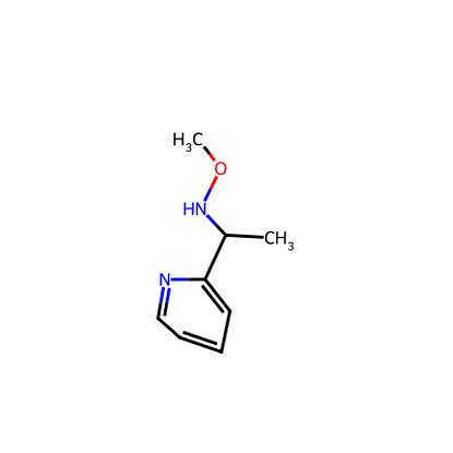 CONC(C)c1ccccn1